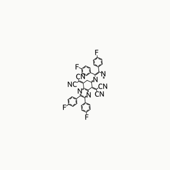 C=N/C(=C(\N=C1/CC(=C(C#N)C#N)c2nc(-c3ccc(F)cc3)c(-c3ccc(F)cc3)nc2C1=C(C#N)C#N)c1ccc(F)cc1)c1ccc(F)cc1